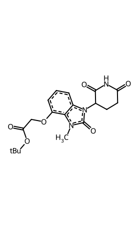 Cn1c(=O)n(C2CCC(=O)NC2=O)c2cccc(OCC(=O)OC(C)(C)C)c21